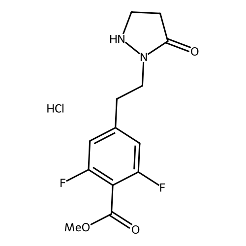 COC(=O)c1c(F)cc(CCN2NCCC2=O)cc1F.Cl